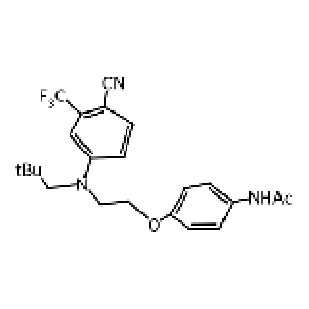 CC(=O)Nc1ccc(OCCN(CC(C)(C)C)c2ccc(C#N)c(C(F)(F)F)c2)cc1